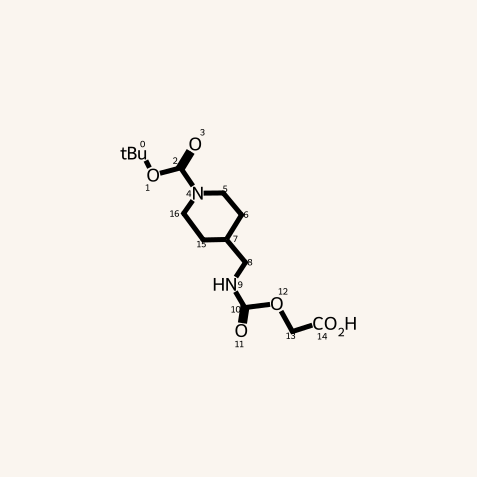 CC(C)(C)OC(=O)N1CCC(CNC(=O)OCC(=O)O)CC1